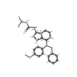 COc1ccc(N(Cc2ccccc2)c2nccn3c(NC(=O)OC(C)C)nnc23)cc1